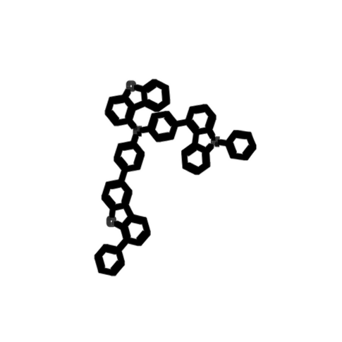 c1ccc(-c2cccc3c2oc2ccc(-c4ccc(N(c5ccc(-c6cccc7c6c6ccccc6n7-c6ccccc6)cc5)c5cccc6oc7ccccc7c56)cc4)cc23)cc1